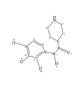 CCN(C(=O)C1CCNCC1)c1ccc(Cl)c(Cl)c1Cl